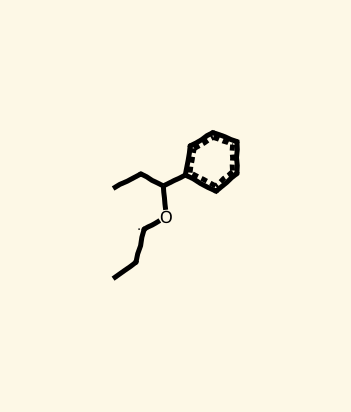 CC[CH]OC(CC)c1ccccc1